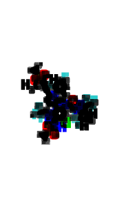 CC(C)(C#Cc1ccc(-c2ccc(Cl)c3c(NS(=O)(=O)C4CC4)nn(CC(F)(F)F)c23)c([C@H](Cc2cc(F)cc(F)c2)NC(=O)Cn2nc(C(F)(F)F)c3c2C(F)(F)[C@@H]2C[C@H]32)n1)S(=O)(=O)C1CC1